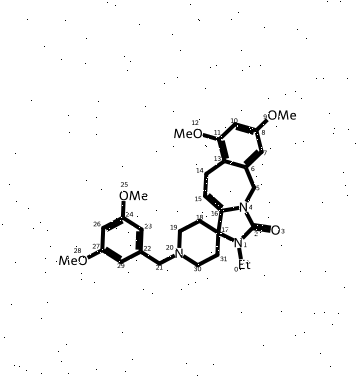 CCN1C(=O)N2Cc3cc(OC)cc(OC)c3CC=C2C12CCN(Cc1cc(OC)cc(OC)c1)CC2